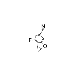 N#Cc1cc(F)c2c(c1)OC1CC21